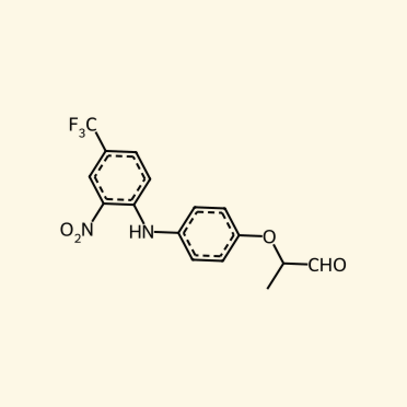 CC(C=O)Oc1ccc(Nc2ccc(C(F)(F)F)cc2[N+](=O)[O-])cc1